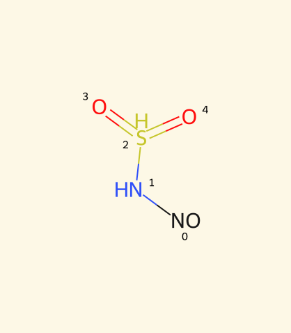 O=NN[SH](=O)=O